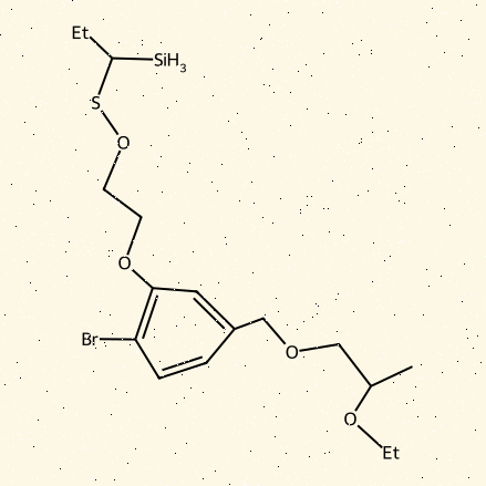 CCOC(C)COCc1ccc(Br)c(OCCOSC([SiH3])CC)c1